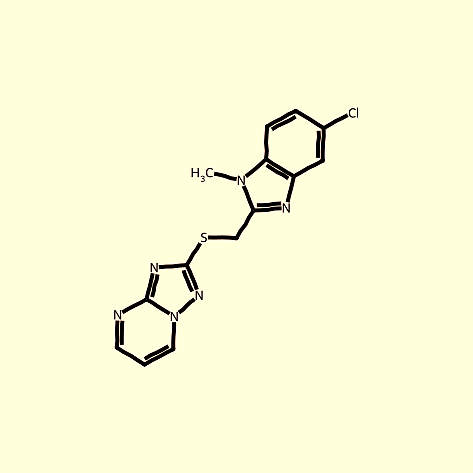 Cn1c(CSc2nc3ncccn3n2)nc2cc(Cl)ccc21